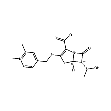 Cc1cc(CSC2=C(C(=O)[O-])N3C(=O)[C@H](C(C)O)[C@H]3C2)cc[n+]1C